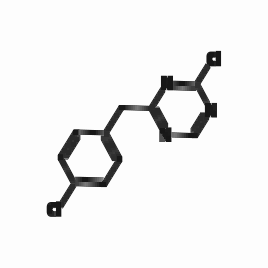 Clc1ccc(Cc2ncnc(Cl)n2)cc1